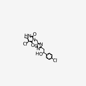 Cc1[nH]c(=O)n(Cc2nc(CC(O)c3ccc(Cl)cc3)no2)c(=O)c1Cl